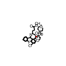 COC(=O)CCC1N=C(c2ccccc2F)c2cc(Cl)ccc2N=C1OP(=O)(N1CCOCC1)N1CCOCC1